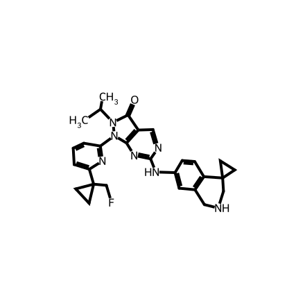 CC(C)n1c(=O)c2cnc(Nc3ccc4c(c3)CNCC43CC3)nc2n1-c1cccc(C2(CF)CC2)n1